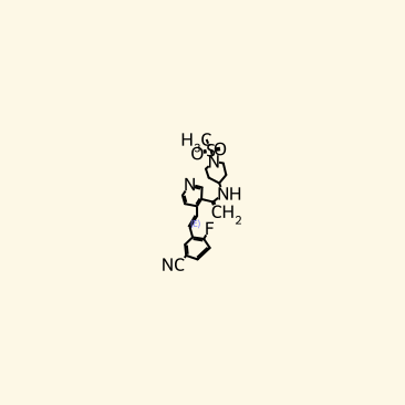 C=C(NC1CCN(S(C)(=O)=O)CC1)c1cnccc1/C=C/c1cc(C#N)ccc1F